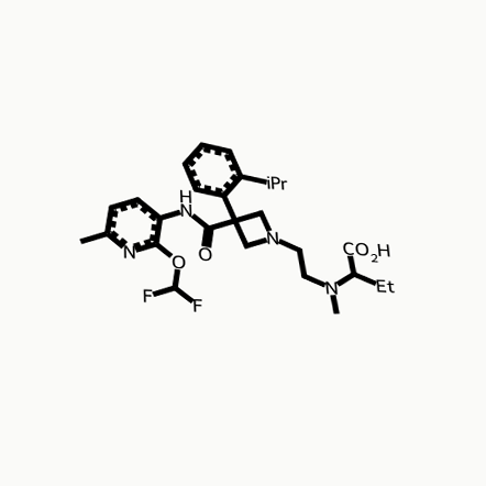 CCC(C(=O)O)N(C)CCN1CC(C(=O)Nc2ccc(C)nc2OC(F)F)(c2ccccc2C(C)C)C1